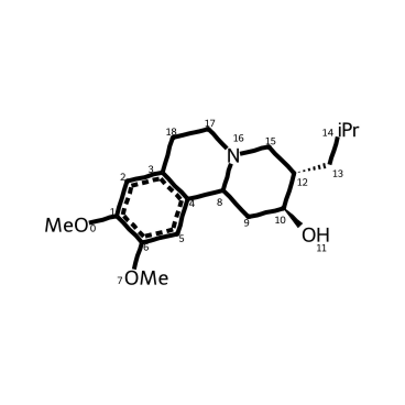 COc1cc2c(cc1OC)C1C[C@H](O)[C@@H](CC(C)C)CN1CC2